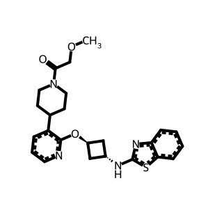 COCC(=O)N1CCC(c2cccnc2O[C@H]2C[C@H](Nc3nc4ccccc4s3)C2)CC1